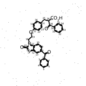 O=C(c1ccccc1)c1ccc2c(c1)sc(=O)n2CCOc1ccc(CC(C(=O)O)C(=O)c2ccccc2)cc1